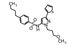 CCCCc1ccc(S(=O)(=O)Nc2cc(-c3cccs3)nn2CCCOC)cc1